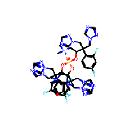 C[N+](C)(C)CC(OP(=O)(OC(C[N+](C)(C)C)C(Cn1cncn1)(Cn1cncn1)c1ccc(F)cc1F)OC(C[N+](C)(C)C)C(Cn1cncn1)(Cn1cncn1)c1ccc(F)cc1F)C(Cn1cncn1)(Cn1cncn1)c1ccc(F)cc1F